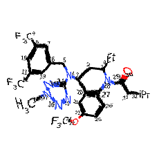 CCC1CC(N(Cc2cc(C(F)(F)F)cc(C(F)(F)F)c2)c2nnn(C)n2)c2cc(OC(F)(F)F)ccc2N1C(=O)CC(C)C